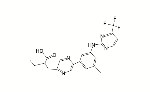 CCC(Cc1cnc(-c2cc(C)cc(Nc3nccc(C(F)(F)F)n3)c2)cn1)C(=O)O